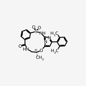 Cc1cccc(C)c1-c1cc2nc(n1)NS(=O)(=O)c1cccc(c1)C(=O)NC[C@@H](C)O2